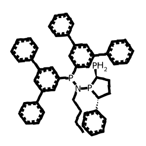 CCCCN(P(c1cc(-c2ccccc2)cc(-c2ccccc2)c1)c1cc(-c2ccccc2)cc(-c2ccccc2)c1)P1[C@@H](c2ccccc2)CC[C@@H]1P